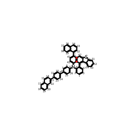 c1ccc(N(c2ccc(-c3ccc(-c4ccc5ccccc5c4)cc3)cc2)c2ccc(-c3cccc4ccccc34)cc2)c(-c2cccc3sc4ccccc4c23)c1